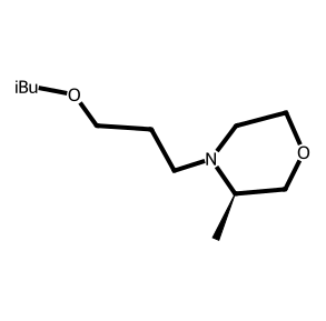 CCC(C)OCCCN1CCOC[C@H]1C